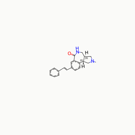 CN1C[C@@H]2CNC(=O)c3cc(C=Cc4ccccc4)ccc3[C@H]2C1